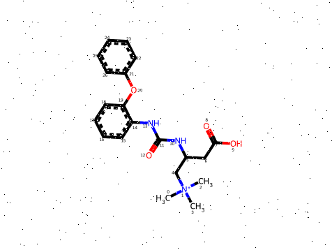 C[N+](C)(C)CC(CC(=O)O)NC(=O)Nc1ccccc1Oc1ccccc1